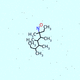 CCC(C)C(C)C(C)C(C)C(C)(CC)N=O